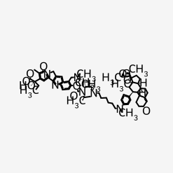 CC[C@@]1(O)C(=O)OCc2c1cc1n(c2=O)Cc2cc3c(CN(C)C)c(OC(=O)N4[C@H](C)CN(CCCCCCN(C)c5ccc([C@H]6C[C@@]7(C)[C@@H](CC[C@]7(OC(C)=O)C(C)=O)[C@@H]7CCC8=CC(=O)CCC8=C76)cc5)C[C@H]4C)ccc3nc2-1